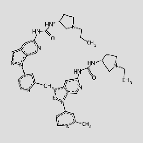 CCCN1CC[C@@H](NC(=O)Nc2cc3cnn(-c4ccnc(C)c4)c3cn2)C1.CCN1CC[C@@H](NC(=O)Nc2cc3cnn(-c4ccnc(C)c4)c3cn2)C1